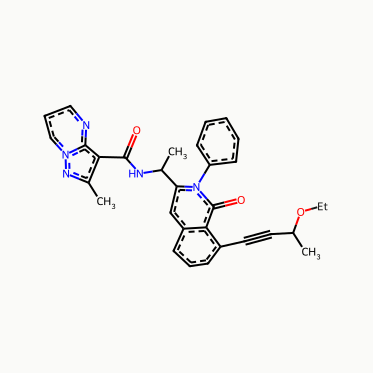 CCOC(C)C#Cc1cccc2cc(C(C)NC(=O)c3c(C)nn4cccnc34)n(-c3ccccc3)c(=O)c12